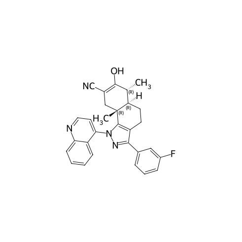 C[C@H]1C(O)=C(C#N)C[C@@]2(C)c3c(c(-c4cccc(F)c4)nn3-c3ccnc4ccccc34)CC[C@H]12